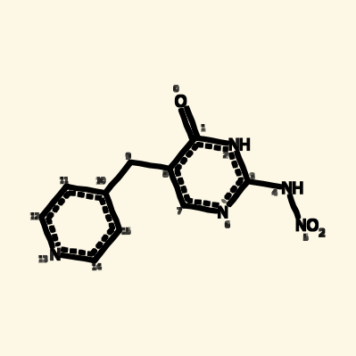 O=c1[nH]c(N[N+](=O)[O-])ncc1Cc1ccncc1